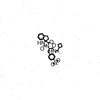 C[C@H](NC(=O)C(Cc1ccc(S(C)(=O)=O)cc1)N1C(=O)NC2(CCc3ccccc32)C1=O)C1CCC1